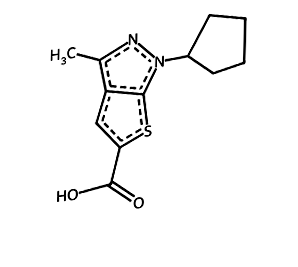 Cc1nn(C2CCCC2)c2sc(C(=O)O)cc12